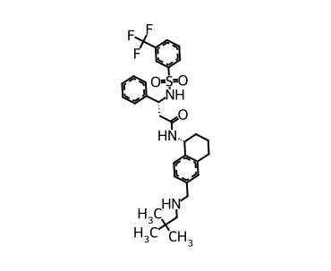 CC(C)(C)CNCc1ccc2c(c1)CCC[C@H]2NC(=O)C[C@@H](NS(=O)(=O)c1cccc(C(F)(F)F)c1)c1ccccc1